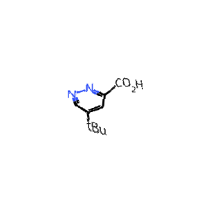 CC(C)(C)c1cnnc(C(=O)O)c1